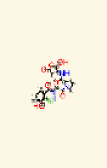 O=C1C[C@H](NC(=O)[C@@H]2CCCN2C(=O)CNC(=O)c2cccc(O)c2Cl)[C@H](O)O1